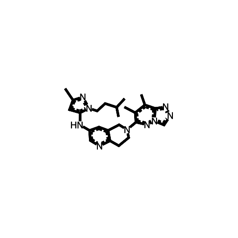 Cc1cc(Nc2cnc3c(c2)CN(c2nn4cnnc4c(C)c2C)CC3)n(CCC(C)C)n1